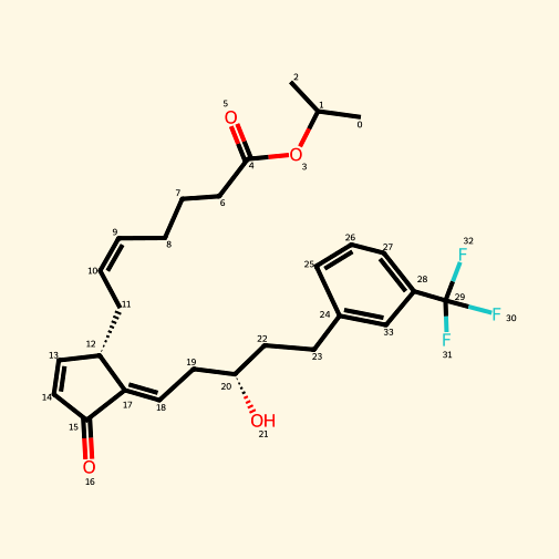 CC(C)OC(=O)CCC/C=C\C[C@H]1C=CC(=O)/C1=C/C[C@@H](O)CCc1cccc(C(F)(F)F)c1